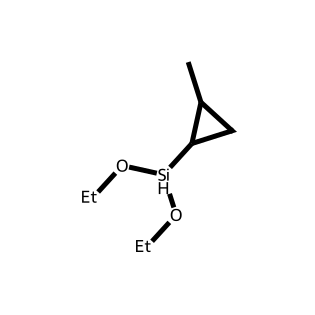 CCO[SiH](OCC)C1CC1C